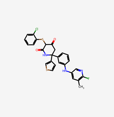 Cc1cc(Nc2cccc(C3(c4ccsc4)CC(=O)C(Sc4ccccc4Cl)C(=O)N3)c2)cnc1F